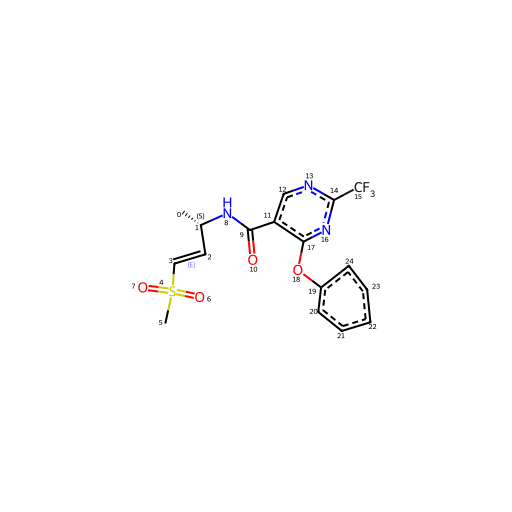 C[C@@H](/C=C/S(C)(=O)=O)NC(=O)c1cnc(C(F)(F)F)nc1Oc1ccccc1